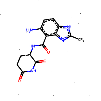 Nc1ccc2[nH]c(C(F)(F)F)nc2c1C(=O)NC1CCC(=O)NC1=O